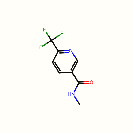 CNC(=O)c1ccc(C(F)(F)F)nc1